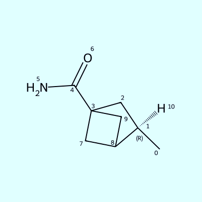 C[C@@H]1CC2(C(N)=O)CC1C2